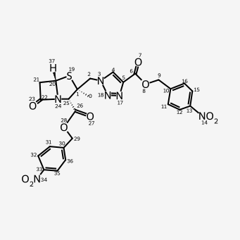 C[C@@]1(Cn2cc(C(=O)OCc3ccc([N+](=O)[O-])cc3)nn2)S[C@H]2CC(=O)N2[C@H]1C(=O)OCc1ccc([N+](=O)[O-])cc1